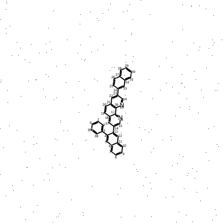 c1ccc(-c2cc3ccccc3cc2-c2cnc3c(ccc4cc(-c5ccc6ccccc6c5)cnc43)c2)cc1